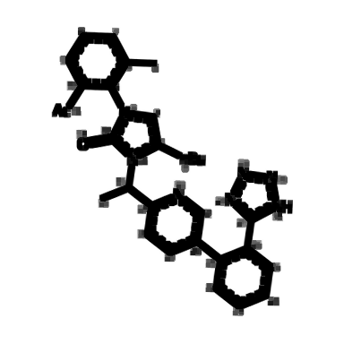 CCCCc1cn(-c2c(C)cccc2C(C)=O)c(=O)n1C(C)c1ccc(-c2ccccc2-c2nnn[nH]2)cn1